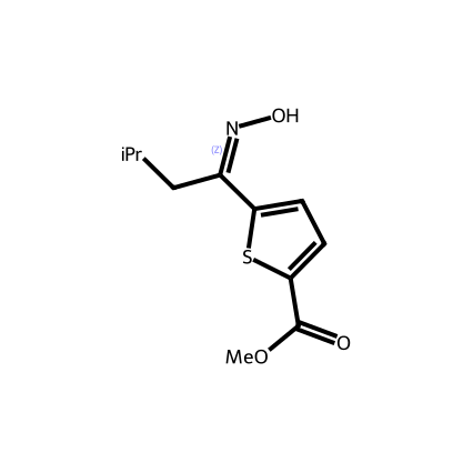 COC(=O)c1ccc(/C(CC(C)C)=N\O)s1